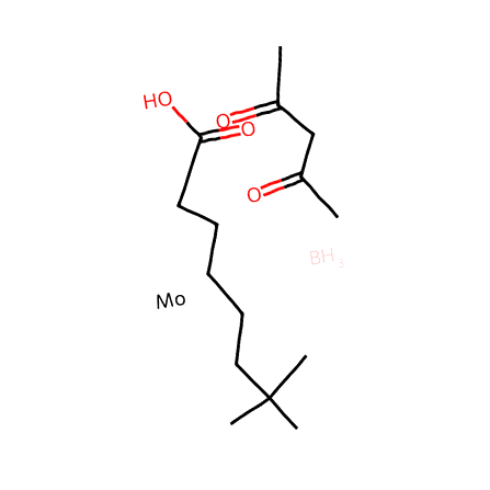 B.CC(=O)CC(C)=O.CC(C)(C)CCCCCC(=O)O.[Mo]